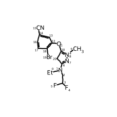 CCN(CC(F)F)C1=N[N+](C)=C(Oc2cc(C#N)ccc2Br)C1